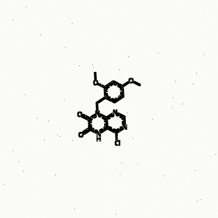 COc1ccc(Cn2c(=O)c(=O)[nH]c3c(Cl)ncnc32)c(OC)c1